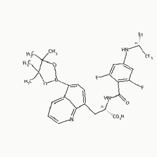 CC[C@@H](Nc1cc(F)c(C(=O)N[C@@H](Cc2ccc(B3OC(C)(C)C(C)(C)O3)c3cccnc23)C(=O)O)c(F)c1)C(F)(F)F